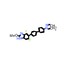 C=CN(/N=C\C)c1ccc(-c2ccc(-c3c(F)cc4[nH]c(OC)nc4c3F)cc2)cc1